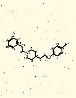 Fc1ccc(OCCC2CCN(CCc3c[c]ccc3)CC2)cc1